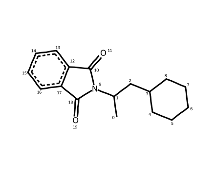 CC(CC1CCCCC1)N1C(=O)c2ccccc2C1=O